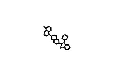 Cc1cccc2c(-c3ccc4cc(-c5nc6ccccc6n5-c5ccccc5)ccc4c3)cccc12